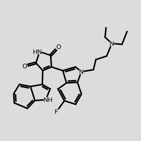 CCN(CC)CCCn1cc(C2=C(c3c[nH]c4ccccc34)C(=O)NC2=O)c2cc(F)ccc21